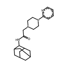 O=C(CN1CCN(c2ccccn2)CC1)NC1C2CC3CC(C2)CC1C3